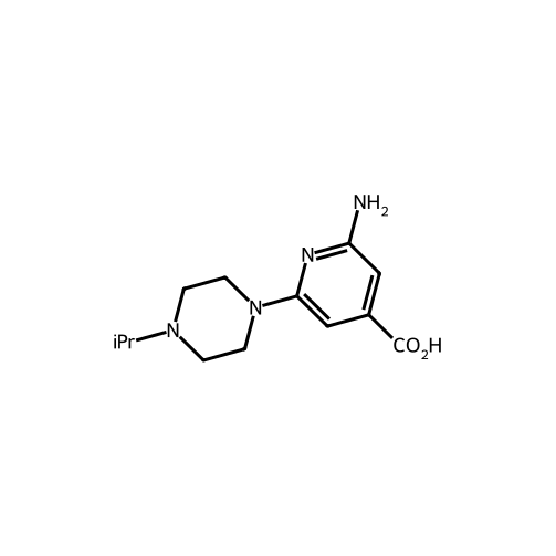 CC(C)N1CCN(c2cc(C(=O)O)cc(N)n2)CC1